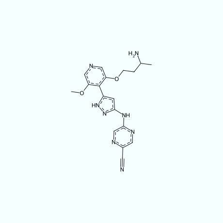 COc1cncc(OCCC(C)N)c1-c1cc(Nc2cnc(C#N)cn2)n[nH]1